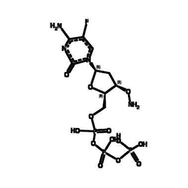 NO[C@@H]1C[C@H](n2cc(F)c(N)nc2=O)O[C@@H]1COP(=O)(O)OP(=O)(O)OP(=O)(O)O